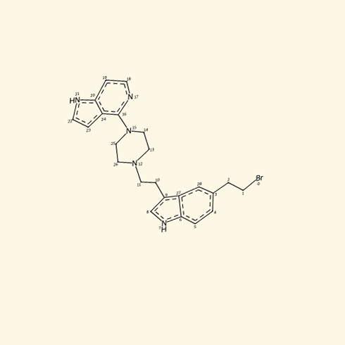 BrCCc1ccc2[nH]cc(CCN3CCN(c4nccc5[nH]ccc45)CC3)c2c1